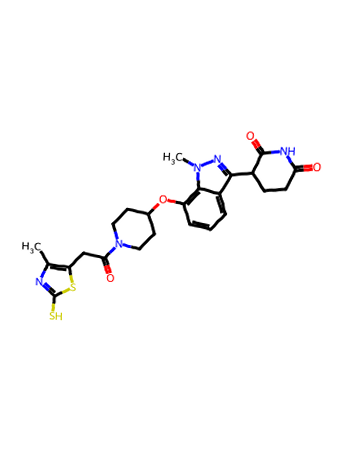 Cc1nc(S)sc1CC(=O)N1CCC(Oc2cccc3c(C4CCC(=O)NC4=O)nn(C)c23)CC1